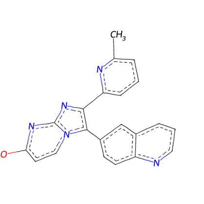 Cc1cccc(-c2nc3nc(O)ccn3c2-c2ccc3ncccc3c2)n1